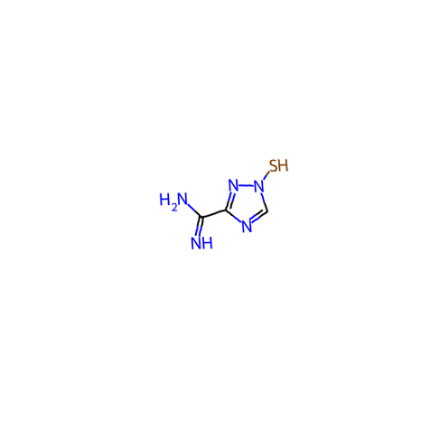 N=C(N)c1ncn(S)n1